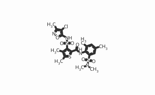 Cc1cc(C)c(NC(=O)c2sc(C)c(C)c2S(=O)(=O)Nc2onc(C)c2Cl)c(S(=O)(=O)N(C)C)c1